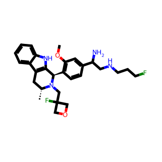 COc1cc(C(N)CNCCCF)ccc1[C@@H]1c2[nH]c3ccccc3c2C[C@@H](C)N1CC1(F)COC1